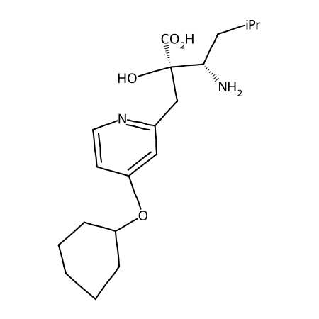 CC(C)C[C@H](N)[C@](O)(Cc1cc(OC2CCCCC2)ccn1)C(=O)O